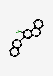 Clc1cc2c(ccc3ccccc32)cc1-c1ccc2ccccc2c1